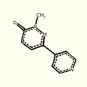 Cn1nc(-c2ccncc2)ccc1=O